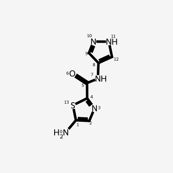 Nc1cnc(C(=O)Nc2cn[nH]c2)s1